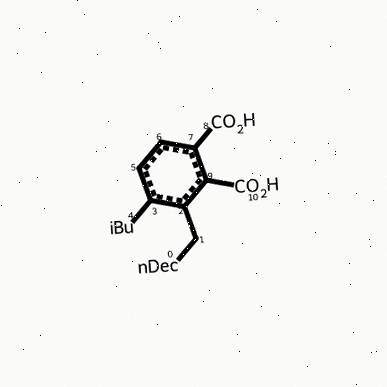 CCCCCCCCCCCc1c(C(C)CC)ccc(C(=O)O)c1C(=O)O